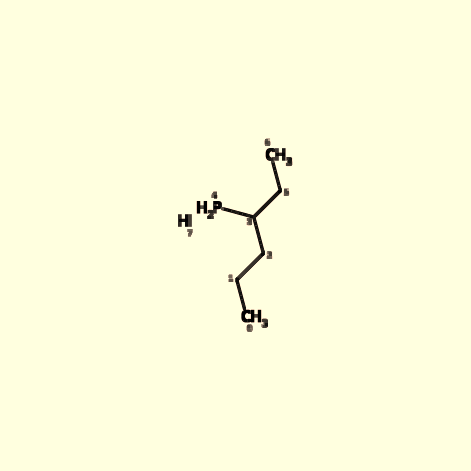 CCCC(P)CC.I